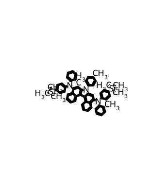 Cc1ccc(-n2c3cc(N(c4ccc([Si](C)(C)C)cc4)c4ccccc4C)c4ccccc4c3c3c4ccccc4c(N(c4ccc([Si](C)(C)C)cc4)c4ccccc4C)cc32)cc1